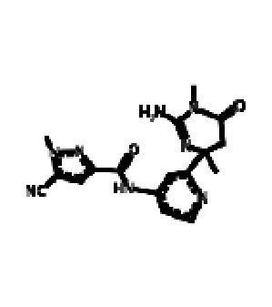 CN1C(=O)CC(C)(c2cc(NC(=O)c3cc(C#N)n(C)n3)ccn2)N=C1N